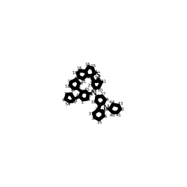 c1ccc(-c2ccc(N(c3ccc4sc5ccc6ccccc6c5c4c3)c3ccc4c(c3)c3ccccc3n4-c3ccccc3)cc2-c2ccccc2)cc1